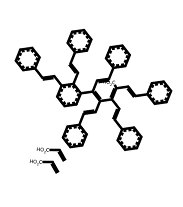 C=CC(=O)O.C=CC(=O)O.O=C(O)C(C=Cc1ccccc1)=C(C=Cc1ccccc1)C(C=Cc1ccccc1)=C(C=Cc1ccccc1)c1cccc(C=Cc2ccccc2)c1C=Cc1ccccc1